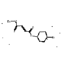 CCC(C)OC(=O)/C=C/C(=O)OC1CCC(C(C)C)CC1